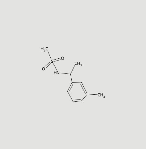 Cc1cccc(C(C)NS(C)(=O)=O)c1